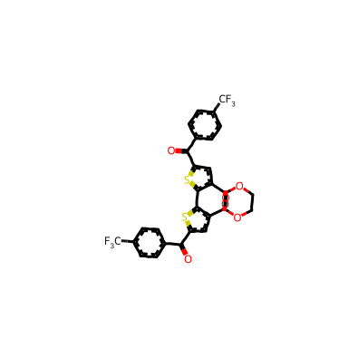 O=C(c1ccc(C(F)(F)F)cc1)c1cc2c(s1)-c1sc(C(=O)c3ccc(C(F)(F)F)cc3)cc1C13OCCOC21OCCO3